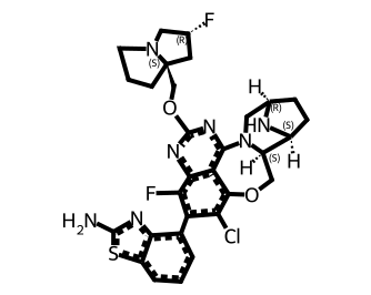 Nc1nc2c(-c3c(Cl)c4c5c(nc(OC[C@@]67CCCN6C[C@H](F)C7)nc5c3F)N3C[C@H]5CC[C@H](N5)[C@H]3CO4)cccc2s1